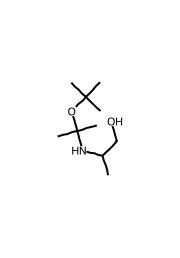 CC(CO)NC(C)(C)OC(C)(C)C